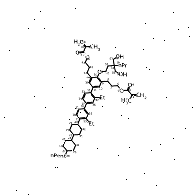 C=C(C)C(=O)OCCCc1cc(-c2ccc(-c3ccc(C4CCC(C5CCC(CCCCC)CC5)CC4)c(CC)c3)cc2CC)cc(CCCOC(=O)C(=C)C)c1OCCC(CO)(CO)CCC